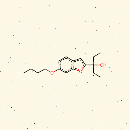 CCCCOc1ccc2cc(C(O)(CC)CC)oc2c1